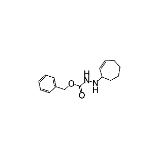 O=C(NNC1C=CCCCC1)OCc1ccccc1